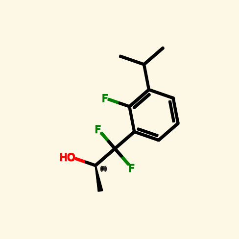 CC(C)c1cccc(C(F)(F)[C@@H](C)O)c1F